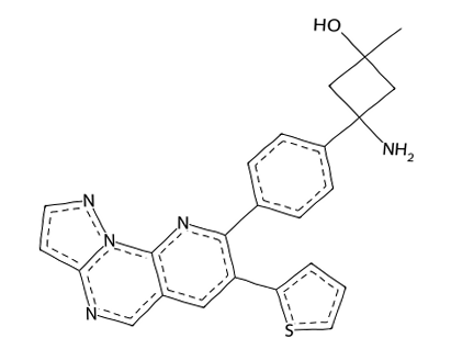 CC1(O)CC(N)(c2ccc(-c3nc4c(cnc5ccnn54)cc3-c3cccs3)cc2)C1